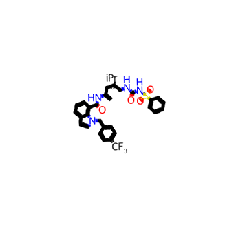 C=C(C[C@H](CNC(=O)NS(=O)(=O)c1ccccc1)C(C)C)NC(=O)c1cccc2ccn(Cc3ccc(C(F)(F)F)cc3)c12